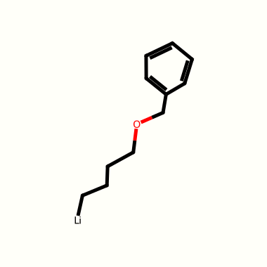 [Li][CH2]CCCOCc1ccccc1